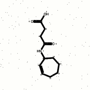 O=C(O)CCC(=O)NC1C=CCCCC1